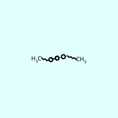 CCCCCCC[C@H]1CC[C@H](c2ccc(C3=CCC(CCCCC)CC3)cc2)CC1